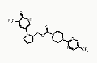 O=C(OC[C@H]1CCCN1c1c[nH]c(=O)c(C(F)(F)F)c1)N1CCN(c2ncc(C(F)(F)F)cn2)CC1